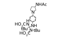 CC(=O)N[C@@H]1CCN(c2ccc(NC(NC(=O)O)(N(C(=O)O)C(C)(C)C)C(C)(C)C)cc2)C1